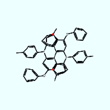 Cc1ccc(P(c2ccc(C)cc2)c2cc(Oc3ccccc3)c3c(c2-c2c(P(c4ccc(C)cc4)c4ccc(C)cc4)cc(Oc4ccccc4)c4c2OCO4)OCO3)cc1